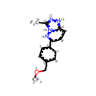 FC(F)(F)OCc1ccc(-c2ccc3nnc(C(F)(F)F)n3n2)cc1